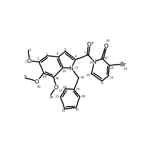 COc1cc2cc(C(=O)n3cccc(Br)c3=O)n(Cc3ccccc3)c2c(OC)c1OC